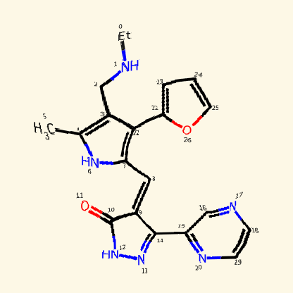 CCNCc1c(C)[nH]c(C=C2C(=O)NN=C2c2cnccn2)c1-c1ccco1